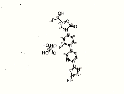 CCn1nnc(-c2ccc(-c3ccc(N4C[C@@H](C(O)F)OC4=O)cc3F)cn2)n1.O=P(O)(O)O